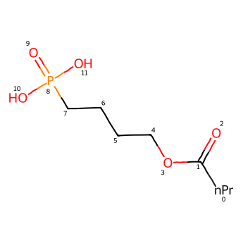 CCCC(=O)OCCCCP(=O)(O)O